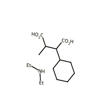 CC(C(=O)O)C(C(=O)O)C1CCCCC1.CCNCC